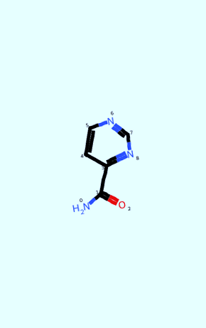 NC(=O)c1[c]cncn1